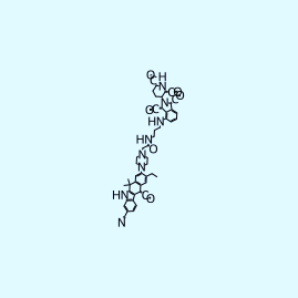 CCc1cc2c(cc1N1CCN(CC(=O)NCCCNc3cccc4c(=C=O)n(C5CCC(=C=O)NC5=C=O)c(=C=O)c34)CC1)C(C)(C)c1[nH]c3cc(C#N)ccc3c1C2=C=O